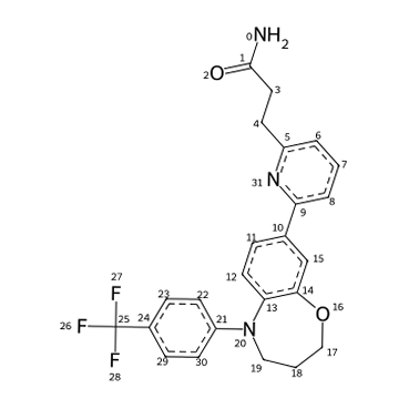 NC(=O)CCc1cccc(-c2ccc3c(c2)OCCCN3c2ccc(C(F)(F)F)cc2)n1